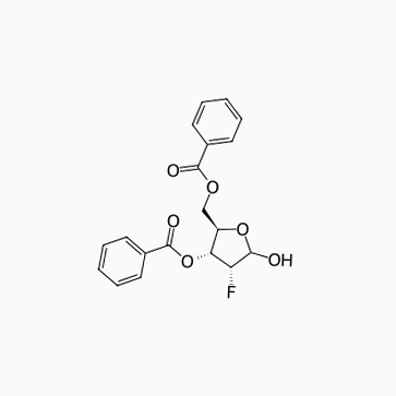 O=C(OC[C@H]1OC(O)[C@H](F)[C@@H]1OC(=O)c1ccccc1)c1ccccc1